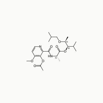 COc1ccnc(C(=O)N[C@@H](C)C(=O)O[C@H](C(C)C)[C@H](C)OCC(C)C)c1OC(C)=O